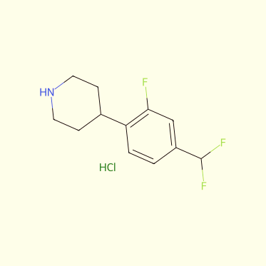 Cl.Fc1cc(C(F)F)ccc1C1CCNCC1